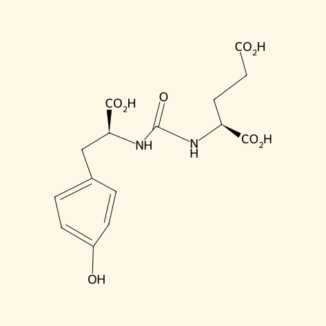 O=C(O)CC[C@H](NC(=O)N[C@@H](Cc1ccc(O)cc1)C(=O)O)C(=O)O